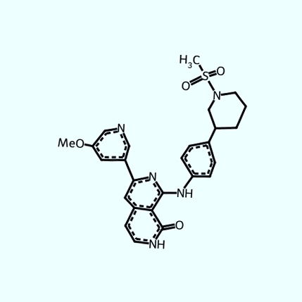 COc1cncc(-c2cc3cc[nH]c(=O)c3c(Nc3ccc(C4CCCN(S(C)(=O)=O)C4)cc3)n2)c1